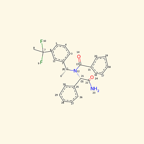 C[C@H](c1cccc(C(C)(F)F)c1)N(C(=O)c1ccccc1)[C@H](C(N)=O)c1ccccc1